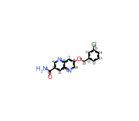 NC(=O)c1cnc2cc(OCc3cccc(Cl)c3)cnc2c1